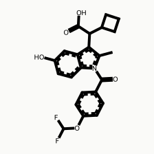 Cc1c(C(C(=O)O)C2CCC2)c2cc(O)ccc2n1C(=O)c1ccc(OC(F)F)cc1